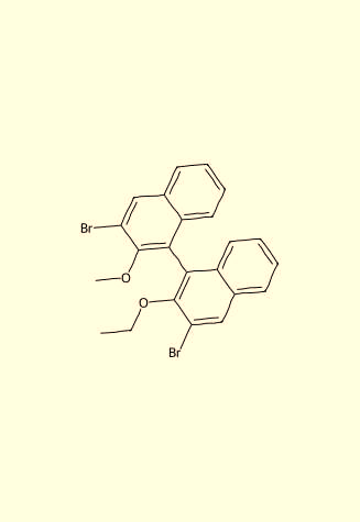 CCOc1c(Br)cc2ccccc2c1-c1c(OC)c(Br)cc2ccccc12